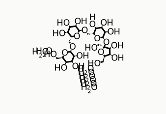 O.O.O.O.O.O.O.O.OC[C@H]1O[C@H](OC[C@H]2O[C@H](OC[C@H]3O[C@H](O[C@]4(CO)O[C@H](CO)[C@@H](O)[C@@H]4O)[C@H](O)[C@@H](O)[C@@H]3O)[C@H](O)[C@@H](O)[C@H]2O)[C@H](O)[C@@H](O)[C@H]1O